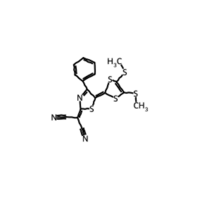 CSC1=C(SC)SC(=c2sc(=C(C#N)C#N)nc2-c2ccccc2)S1